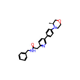 C[C@H]1COCCN1c1ccc(-c2ccc(CC(=O)NCc3ccccc3)nc2)cc1